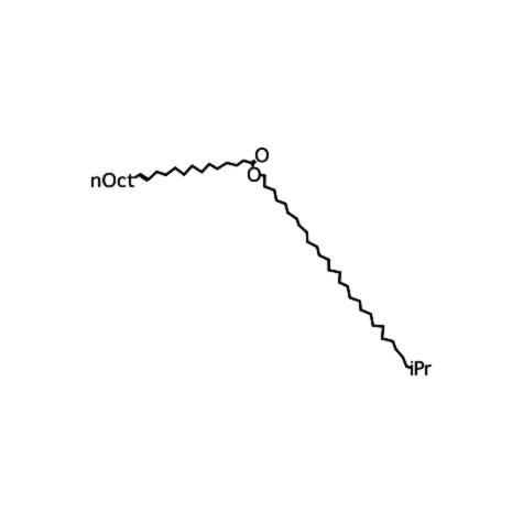 CCCCCCCCC=CCCCCCCCCCCCC(=O)OCCCCCCCCCCCCCCCCCCCCCCCCCCCCC(C)C